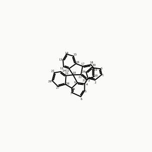 c1ccc(-c2cccc3c2C2(c4ccccc4-c4ccccc42)c2ccccc2-3)cc1